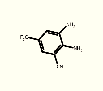 N#Cc1cc(C(F)(F)F)cc(N)c1N